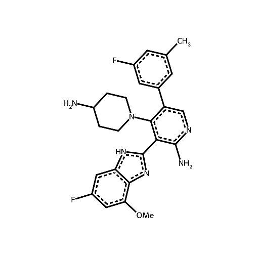 COc1cc(F)cc2[nH]c(-c3c(N)ncc(-c4cc(C)cc(F)c4)c3N3CCC(N)CC3)nc12